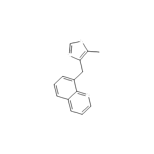 Cc1[nH]cnc1Cc1cccc2cccnc12